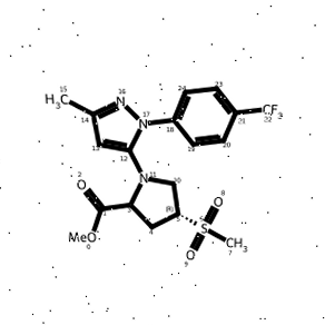 COC(=O)C1C[C@@H](S(C)(=O)=O)CN1c1cc(C)nn1-c1ccc(C(F)(F)F)cc1